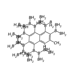 BBB(B)B(B(B)B)c1c(B(B(B)B)B(B)B)c(B(BB)B(B)B)c(B(B)B(B)B)c2c(B(B)BB)c(B(B)B)c(C)c(B)c12